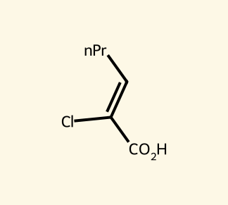 CCCC=C(Cl)C(=O)O